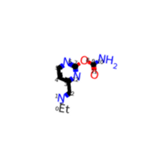 CCN=Cc1ccnc(OC(N)=O)n1